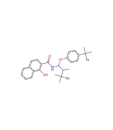 CCC(C)(C)c1ccc(OC(NC(=O)c2ccc3ccccc3c2O)C(C)C(C)(C)CC)cc1